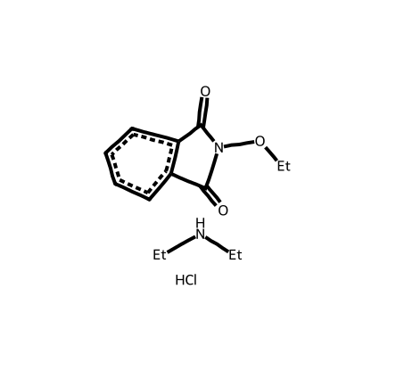 CCNCC.CCON1C(=O)c2ccccc2C1=O.Cl